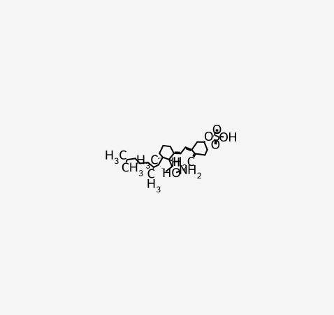 C=C1CC[C@H](OS(=O)(=O)O)C/C1=C/C=C1\CCC[C@]2(C)[C@@H]([C@H](C)CCCC(C)C)CC[C@@H]12.NO